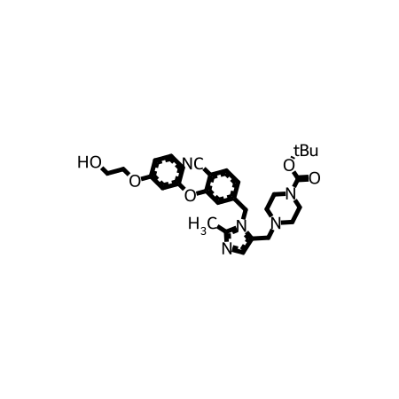 Cc1ncc(CN2CCN(C(=O)OC(C)(C)C)CC2)n1Cc1ccc(C#N)c(Oc2cccc(OCCO)c2)c1